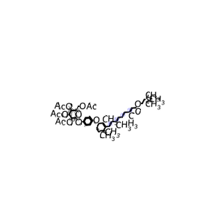 CC(=O)OC[C@H]1O[C@@H](Oc2ccc(OC3CCC(C)(C)C(/C=C/C(C)=C/C=C/C(C)=C/C(=O)OCC[Si](C)(C)C)=C3C)cc2)[C@H](OC(C)=O)[C@@H](OC(C)=O)[C@@H]1OC(C)=O